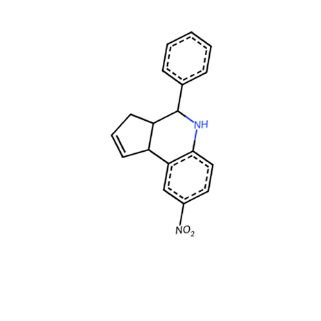 O=[N+]([O-])c1ccc2c(c1)C1C=CCC1C(c1ccccc1)N2